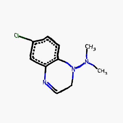 CN(C)N1CC=Nc2cc(Cl)ccc21